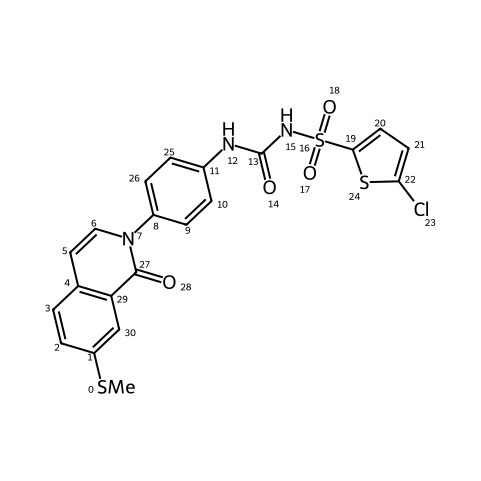 CSc1ccc2ccn(-c3ccc(NC(=O)NS(=O)(=O)c4ccc(Cl)s4)cc3)c(=O)c2c1